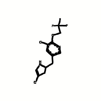 CC(F)(F)COc1ncc(CC2CC(Cl)=CN2)cc1Cl